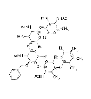 CCC1O[C@@H](O[C@@H]2C(CC)O[C@@H](O[C@@H]3C(CC)O[C@@H](O[C@@H]4C(CC)O[C@@H](C)C(NC(C)=O)[C@H]4C)C(NC(C)=O)C3C)C(NC(C)=O)[C@@H]2OCc2ccccc2)C(NC(C)=O)C(C)[C@@H]1O[C@@H]1OC(CC)[C@@H](C)[C@H](C)C1C